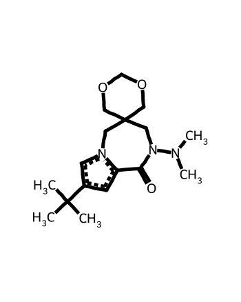 CN(C)N1CC2(COCOC2)Cn2cc(C(C)(C)C)cc2C1=O